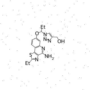 CCc1nc2c(N)nc3cc(OC(CC)n4cc(CO)nn4)ccc3c2s1